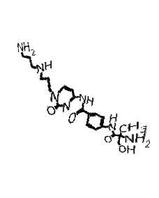 CC(N)(CO)C(=O)Nc1ccc(C(=O)Nc2ccn(CCCNCCCN)c(=O)n2)cc1